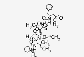 C=CCOCN(C(=O)[C@@H](NC(=O)[C@H]1CCCCN1C)C(C)CC)[C@@H](C[C@@H](OC(C)=O)c1nc(C(=O)N[C@@H](Cc2ccccc2)C[C@H](C)C=O)cs1)C(C)C